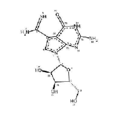 N=C(N)c1cn([C@@H]2O[C@H](CO)[C@@H](O)[C@H]2O)c2nc(N)[nH]c(=O)c12